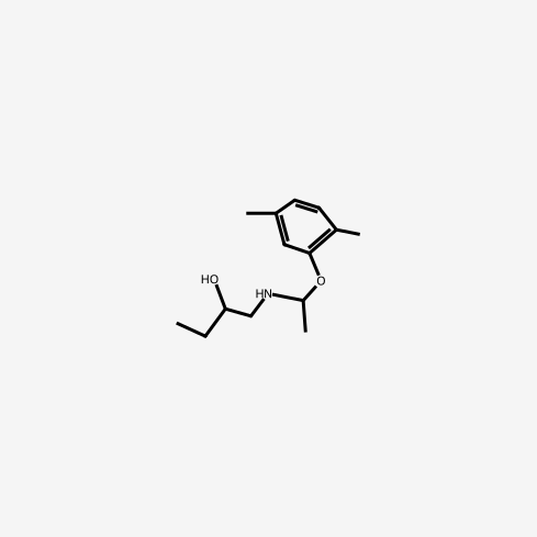 CCC(O)CNC(C)Oc1cc(C)ccc1C